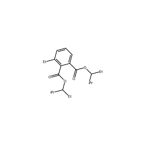 CCc1cccc(C(=O)OC(CC)C(C)C)c1C(=O)OC(CC)C(C)C